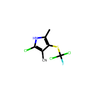 Cc1[nH]c(Cl)c(C#N)c1SC(F)(Cl)Cl